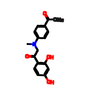 COC(=O)c1ccc(N(C)CC(=O)c2ccc(O)cc2O)cc1